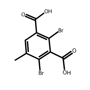 Cc1cc(C(=O)O)c(Br)c(C(=O)O)c1Br